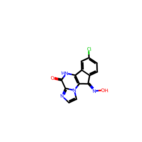 O=c1[nH]c2c(n3ccnc13)C(=NO)c1ccc(Cl)cc1-2